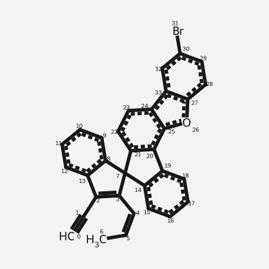 C#CC1=C(/C=C\C)C2(c3ccccc31)c1ccccc1-c1c2ccc2c1oc1ccc(Br)cc12